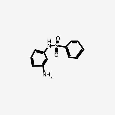 Nc1cccc(NS(=O)(=O)c2ccccc2)c1